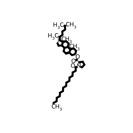 CCCCCCCCCCCCCCCC(=O)N1CCC[C@H]1C(=O)OC1CC[C@@]2(C)C(=CCC3C2CC[C@@]2(C)C3CC[C@@H]2[C@H](C)CCCC(C)C)C1